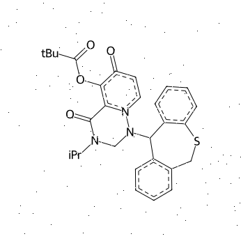 CC(C)N1CN(C2c3ccccc3CSc3ccccc32)n2ccc(=O)c(OC(=O)C(C)(C)C)c2C1=O